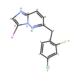 Fc1cc(Cl)ccc1Cc1ccc2ncc(I)n2n1